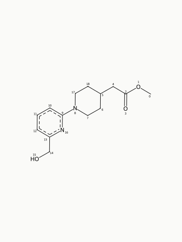 COC(=O)CC1CCN(c2cccc(CO)n2)CC1